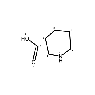 C1CCNCC1.O=[C]O